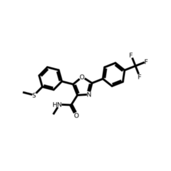 CNC(=O)c1nc(-c2ccc(C(F)(F)F)cc2)oc1-c1cccc(SC)c1